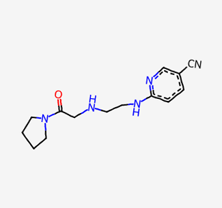 N#Cc1ccc(NCCNCC(=O)N2CCCC2)nc1